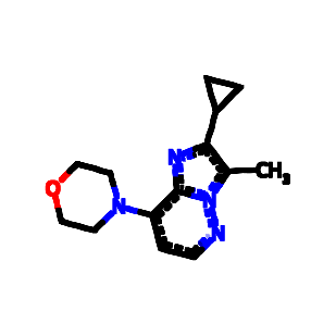 Cc1c(C2CC2)nc2c(N3CCOCC3)ccnn12